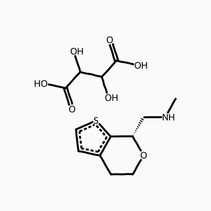 CNC[C@@H]1OCCc2ccsc21.O=C(O)C(O)C(O)C(=O)O